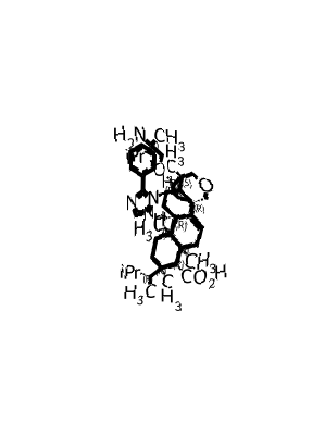 CC(C)[C@@H](C)[C@@]1(C)CC[C@]2(C)[C@H]3CC[C@@H]4[C@@]5(COC[C@@]4(C)[C@@H](OC[C@](C)(N)C(C)C)[C@H](n4ncnc4-c4ccccc4)C5)C3=CC[C@@]2(C)[C@@H]1C(=O)O